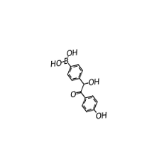 O=C(c1ccc(O)cc1)C(O)c1ccc(B(O)O)cc1